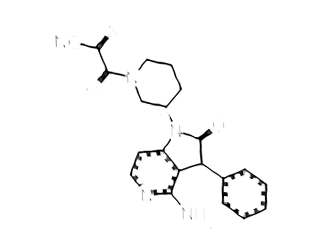 N#CC(=S)C(=O)N1CCC[C@@H](N2C(=O)C(c3ccccc3)c3c2ccnc3N)C1